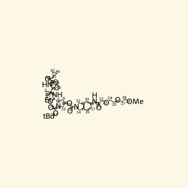 CC[C@@H]1C[C@]1(NC(=O)[C@@H]1C[C@@H](OC(=O)N2Cc3ccc(NC(=O)COCCOCCOC)cc3C2)CN1C(=O)OC(C)(C)C)C(=O)NS(=O)(=O)C1CC1